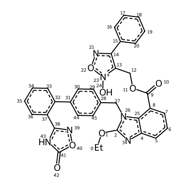 CCOc1nc2cccc(C(=O)OCc3c(-c4ccccc4)no[n+]3O)c2n1Cc1ccc(-c2ccccc2-c2noc(=O)[nH]2)cc1